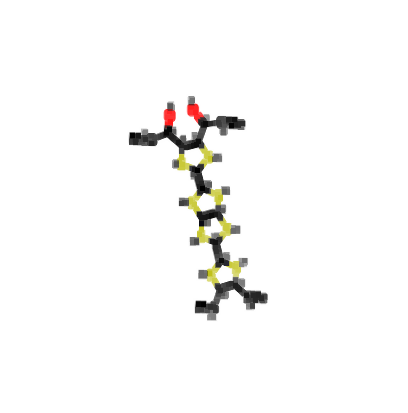 COC(=O)C1=C(C(=O)OC)SC(=C2SC3=C(SC(=C4SC(SC)=C(SC)S4)S3)S2)S1